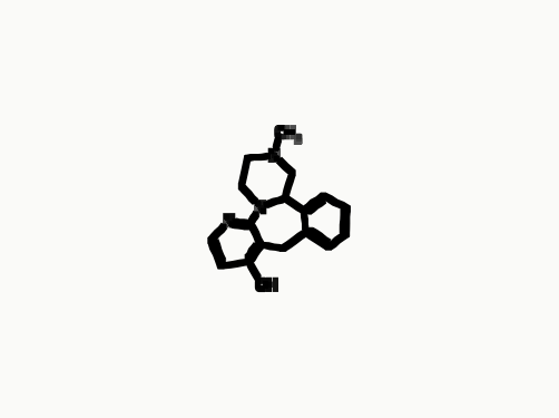 CN1CCN2c3nccc(O)c3Cc3ccccc3C2C1